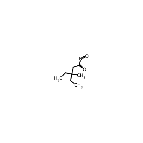 CCC(C)(CC)CC(=O)N=O